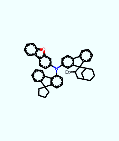 CCC1CC2CCCC(C2)C12c1ccccc1-c1ccc(N(c3ccc4c(c3)oc3ccccc34)c3cccc4c3-c3ccccc3C43CCCC3)cc12